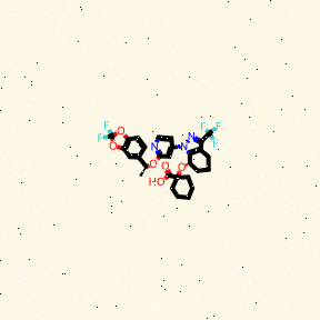 C[C@H](Oc1cc(-n2nc(C(F)(F)F)c3c2[C@H](OC2(C(=O)O)CCCCC2)CCC3)ccn1)c1ccc2c(c1)OC(F)(F)O2